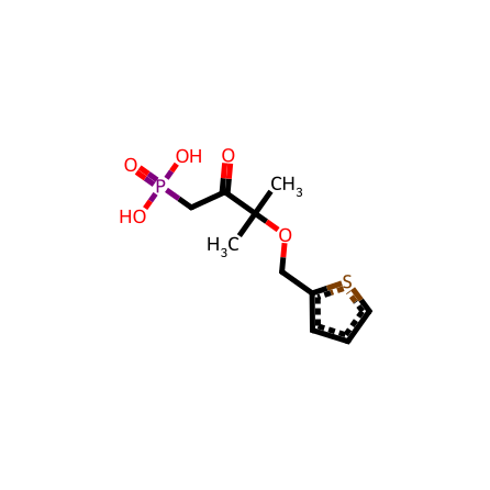 CC(C)(OCc1cccs1)C(=O)CP(=O)(O)O